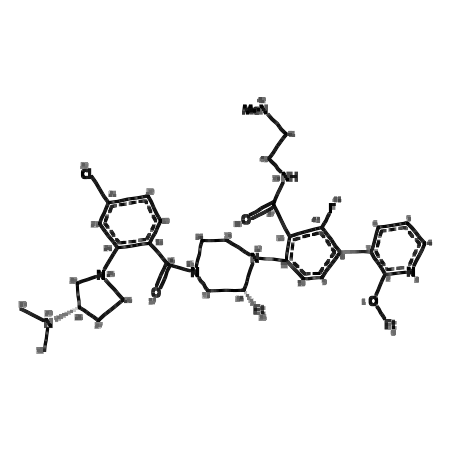 CCOc1ncccc1-c1ccc(N2CCN(C(=O)c3ccc(Cl)cc3N3CC[C@H](N(C)C)C3)C[C@H]2CC)c(C(=O)NCCNC)c1F